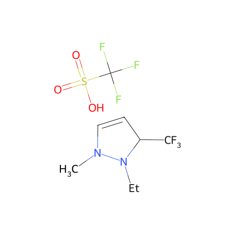 CCN1C(C(F)(F)F)C=CN1C.O=S(=O)(O)C(F)(F)F